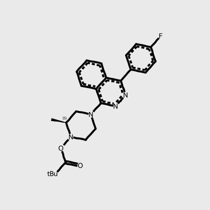 C[C@H]1CN(c2nnc(-c3ccc(F)cc3)c3ccccc23)CCN1OC(=O)C(C)(C)C